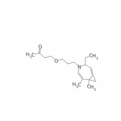 CCC1C=C2CC2(C)C(C)=CN1CCCOCCC(C)=O